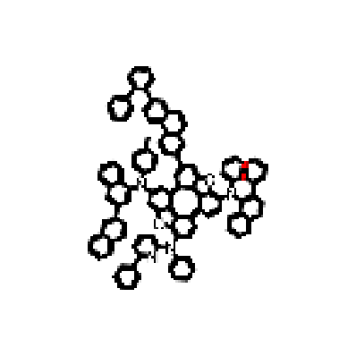 Cc1ccc(N(c2cc3oc4c(N(c5ccccc5)c5cccc(-c6ccccc6)n5)ccc5c6ccc(N(c7ccccc7)c7c(-c8ccccc8)ccc8ccccc78)c7oc8cc(-c9ccc%10c(ccc%11cc(-c%12ccccc%12-c%12ccccc%12)ccc%11%10)c9)cc(c(c2)c3c45)c8c76)c2cc(-c3ccc4ccccc4c3)cc3ccccc23)cc1